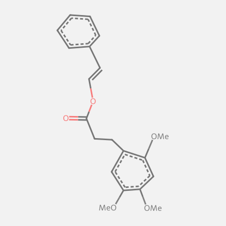 COc1cc(OC)c(OC)cc1CCC(=O)OC=Cc1ccccc1